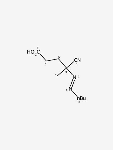 CCCC/N=N/C(C)(C#N)CCC(=O)O